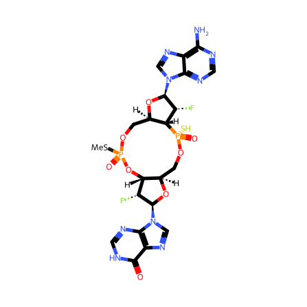 CSP1(=O)OC[C@H]2O[C@@H](n3cnc4c(N)ncnc43)[C@H](F)[C@@H]2P(=O)(S)OC[C@H]2O[C@@H](n3cnc4c(=O)[nH]cnc43)[C@H](F)[C@@H]2O1